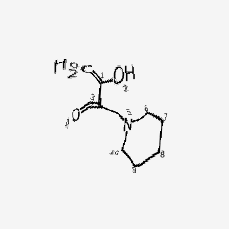 C=C(O)C(=O)N1CCCCC1